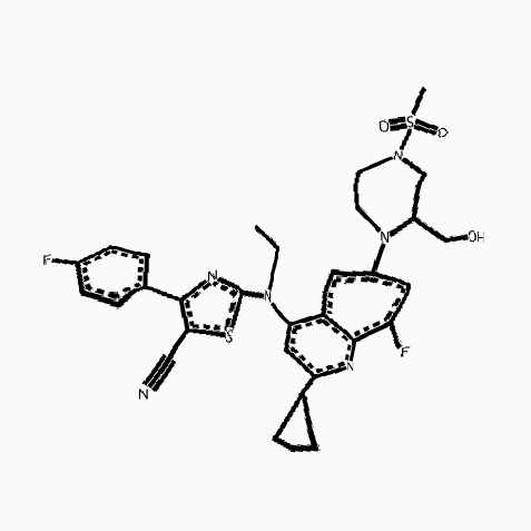 CCN(c1nc(-c2ccc(F)cc2)c(C#N)s1)c1cc(C2CC2)nc2c(F)cc(N3CCN(S(C)(=O)=O)CC3CO)cc12